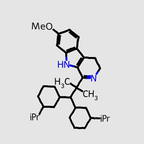 COc1ccc2c3c([nH]c2c1)C(C(C)(C)C(C1CCCC(C(C)C)C1)C1CCCC(C(C)C)C1)=NCC3